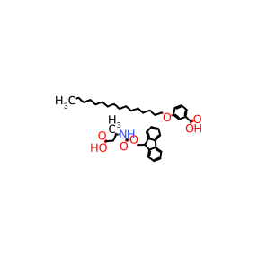 CC(CC(=O)O)NC(=O)OCC1c2ccccc2-c2ccccc21.CCCCCCCCCCCCCCCCOc1cccc(C(=O)O)c1